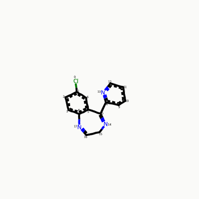 Clc1ccc2c(c1)C(c1ccccn1)=NCC=N2